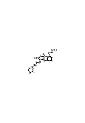 O=C(O)COc1cccc2c1C[C@H]1C[C@@H](O)[C@H](CCCOC3CCCCO3)[C@H]1C2